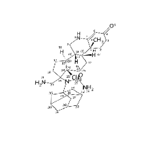 C[C@]12CCC(=O)C=C1NC[C@@H]1[C@H]2CC[C@@]2(C)[C@H]1CCC2(CN)N(C(N)=O)C12CC3CC(CC(C3)C1)C2